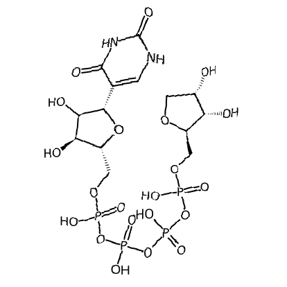 O=c1[nH]cc([C@@H]2O[C@H](COP(=O)(O)OP(=O)(O)OP(=O)(O)OP(=O)(O)OC[C@H]3OC[C@H](O)[C@@H]3O)[C@@H](O)C2O)c(=O)[nH]1